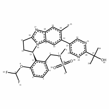 CN(Cc1cccc(OC(F)F)c1[C@H]1CCc2nc3cc(F)c(-c4cnc(C(C)(C)O)nc4)cc3n21)S(C)(=O)=O